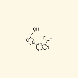 OCCC1CN(c2ccc3cnc(C(F)F)n3c2)CCO1